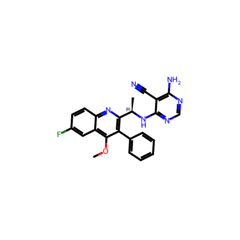 COc1c(-c2ccccc2)c([C@@H](C)Nc2ncnc(N)c2C#N)nc2ccc(F)cc12